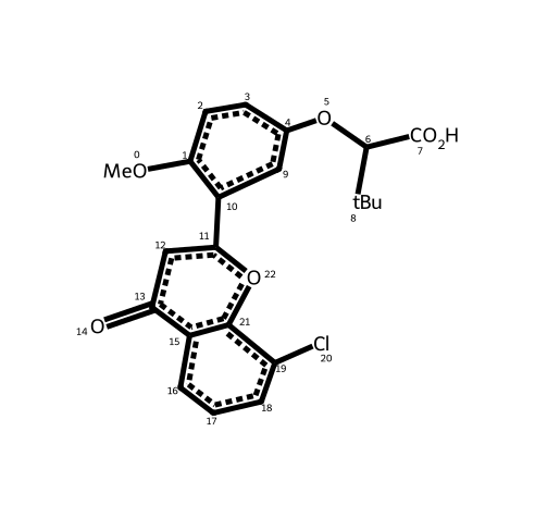 COc1ccc(OC(C(=O)O)C(C)(C)C)cc1-c1cc(=O)c2cccc(Cl)c2o1